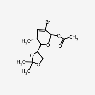 CC(=O)OC1OC([C@H]2COC(C)(C)O2)[C@H](C)C=C1Br